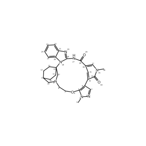 Cn1ncc2c1OCCN1CC3CCC(CC3)(C1)n1c(nc3ccccc31)NC(=O)c1cc-2c(=O)n(C)c1